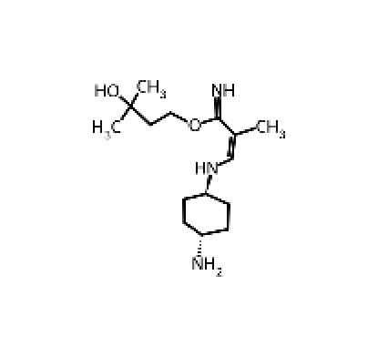 C/C(=C/N[C@H]1CC[C@H](N)CC1)C(=N)OCCC(C)(C)O